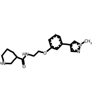 Cn1cc(-c2c[c]cc(OCCNC(=O)C3CCCNC3)c2)cn1